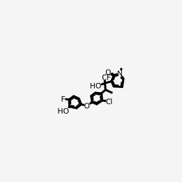 CC(c1ccc(Oc2ccc(F)c(O)c2)cc1Cl)C(O)(c1cccn(C)c1=O)C(F)(F)F